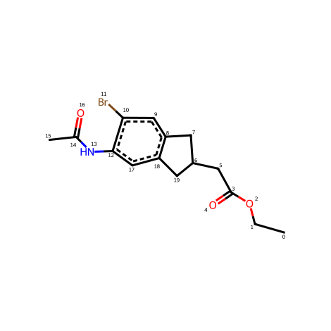 CCOC(=O)CC1Cc2cc(Br)c(NC(C)=O)cc2C1